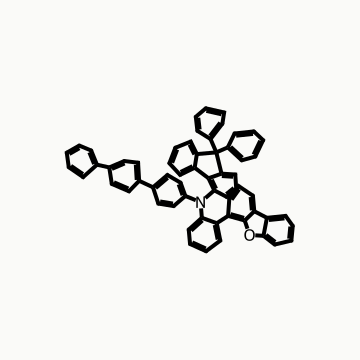 c1ccc(-c2ccc(-c3ccc(N(c4ccccc4-c4cccc5c4oc4ccccc45)c4cccc5c4-c4ccccc4C5(c4ccccc4)c4ccccc4)cc3)cc2)cc1